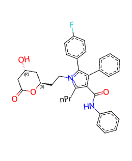 CCCc1c(C(=O)Nc2ccccc2)c(-c2ccccc2)c(-c2ccc(F)cc2)n1CC[C@@H]1C[C@@H](O)CC(=O)O1